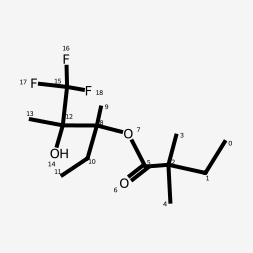 CCC(C)(C)C(=O)OC(C)(CC)C(C)(O)C(F)(F)F